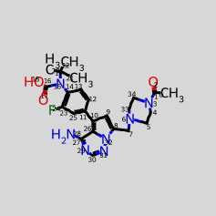 CC(=O)N1CCN(Cc2cc(-c3ccc(N(C(=O)O)C(C)(C)C)c(F)c3)c3c(N)ncnn23)CC1